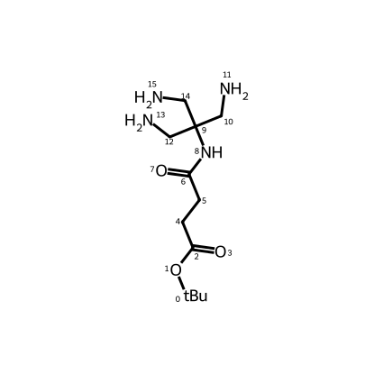 CC(C)(C)OC(=O)CCC(=O)NC(CN)(CN)CN